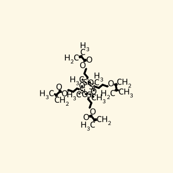 C=C(C)C(=C)OCCC[Si]1(C)O[Si](C)(CCCOC(=O)C(=C)C)O[Si](C)(CCCOC(=O)C(=C)C)O[Si](C)(CCCOC(=O)C(=C)C)O1